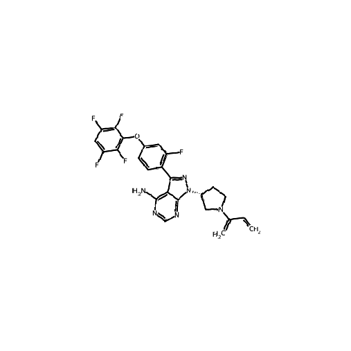 C=CC(=C)N1CC[C@@H](n2nc(-c3ccc(Oc4c(F)c(F)cc(F)c4F)cc3F)c3c(N)ncnc32)C1